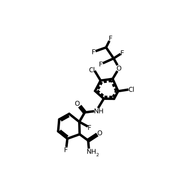 NC(=O)C1C(F)=CC=CC1(F)C(=O)Nc1cc(Cl)c(OC(F)(F)C(F)F)c(Cl)c1